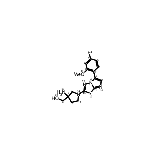 COc1cc(F)ccc1-c1cnc2sc(N3CCC(N)(CO)C3)nn12